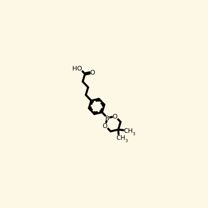 CC1(C)COB(c2ccc(CCCC(=O)O)cc2)OC1